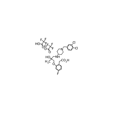 C[C@](O)(CNC1CCN(Cc2ccc(Cl)c(Cl)c2)CC1)COc1cc(F)ccc1CC(=O)O.O=C(O)C(F)(F)F.O=C(O)C(F)(F)F